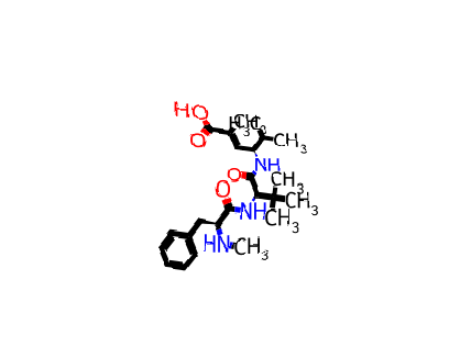 CN[C@@H](Cc1ccccc1)C(=O)N[C@H](C(=O)N[C@H](/C=C(\C)C(=O)O)C(C)C)C(C)(C)C